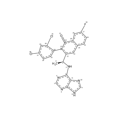 C[C@H](Nc1ncnc2[nH]cnc12)c1cc2ccc(F)cc2c(=O)n1-c1ccc(Cl)cc1Cl